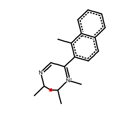 Cc1c(C(/C=N\C(C)C)=[N+](\C)C(C)C)ccc2ccccc12